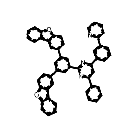 c1ccc(-c2cc(-c3cccc(-c4ccccn4)c3)nc(-c3cc(-c4ccc5oc6ccccc6c5c4)cc(-c4ccc5oc6ccccc6c5c4)c3)n2)cc1